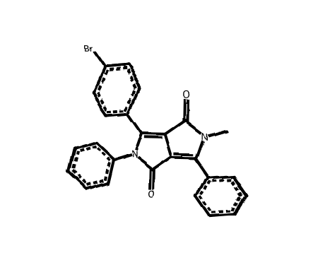 CN1C(=O)C2=C(c3ccc(Br)cc3)N(c3ccccc3)C(=O)C2=C1c1ccccc1